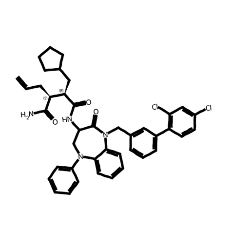 C=CC[C@H](C(N)=O)[C@@H](CC1CCCC1)C(=O)NC1CN(c2ccccc2)c2ccccc2N(Cc2cccc(-c3ccc(Cl)cc3Cl)c2)C1=O